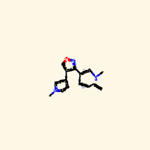 C=C/C=C\C(=C/NC)c1nocc1-c1ccn(C)c1